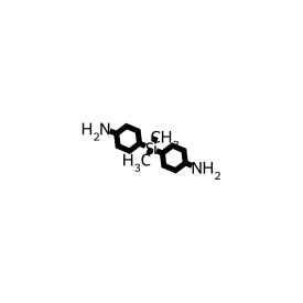 C[Si](C)(C1CCC(N)CC1)C1CCC(N)CC1